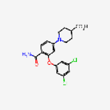 NC(=O)c1ccc(N2CCC(C(=O)O)CC2)cc1Oc1cc(Cl)cc(Cl)c1